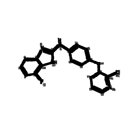 Fc1cccc2nc(Nc3ccc(Oc4nccnc4Cl)cc3)[nH]c12